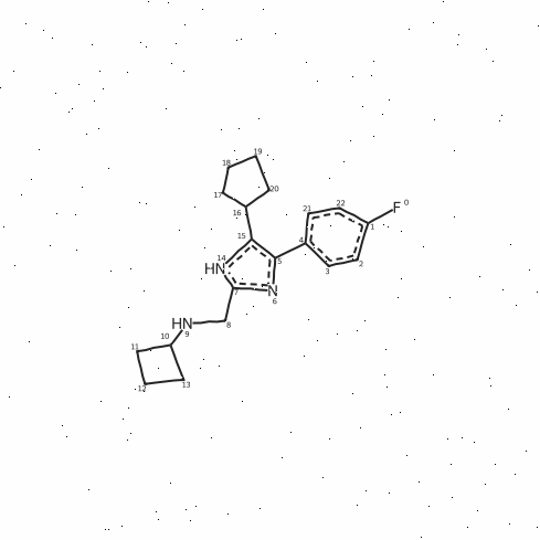 Fc1ccc(-c2nc(CNC3CCC3)[nH]c2C2CCCC2)cc1